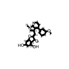 COc1cccc(-c2ccnc3c2c(/C=C2\Oc4cc(O)cc(O)c4C2=O)cn3C)c1